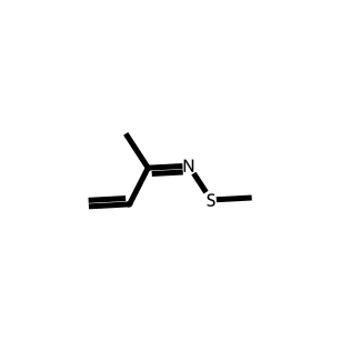 C=C/C(C)=N\SC